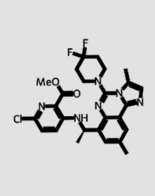 COC(=O)c1nc(Cl)ccc1N[C@H](C)c1cc(C)cc2c1nc(N1CCC(F)(F)CC1)n1c(C)cnc21